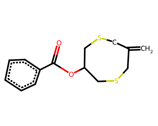 C=C1CSCC(OC(=O)c2ccccc2)CSC1